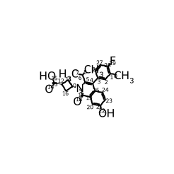 Cc1cc(-c2c(C(C)C)n([C@H]3C[C@H](C(=O)O)C3)c(=O)c3cc(O)ccc23)ccc1F